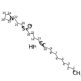 CCCCCCCCCCCCCCCCCC(=O)SCCCN1CCCC1.I